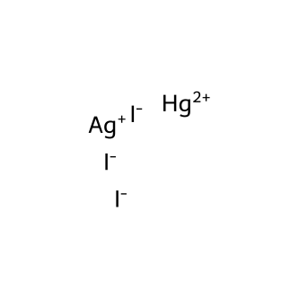 [Ag+].[Hg+2].[I-].[I-].[I-]